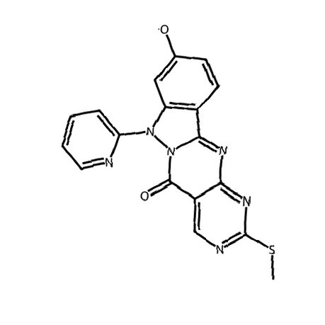 CSc1ncc2c(=O)n3c(nc2n1)c1ccc([O])cc1n3-c1ccccn1